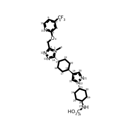 Cn1c(COc2cc(C(F)(F)F)ccn2)nnc1[C@H]1CC[C@H](c2cnn([C@H]3CC[C@H](NC(=O)O)CC3)c2)CC1